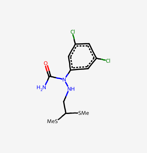 CSC(CNN(C(N)=O)c1cc(Cl)cc(Cl)c1)SC